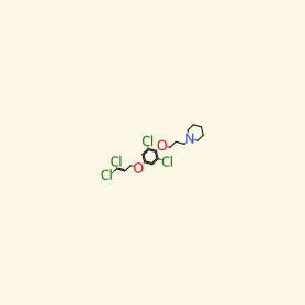 ClC(Cl)=CCOc1cc(Cl)c(OCCCN2CCCCC2)c(Cl)c1